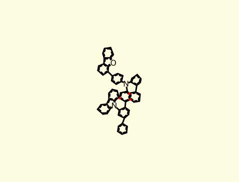 c1ccc(-c2ccc(-c3ccc(N(c4ccc(-c5cccc6c5oc5ccccc56)cc4)c4ccccc4-c4ccccc4)cc3)c(-n3c4ccccc4c4ccccc43)c2)cc1